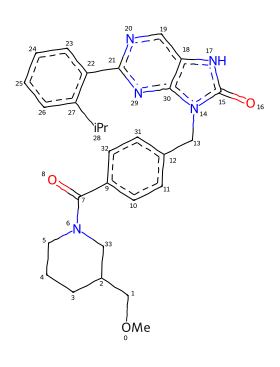 COCC1CCCN(C(=O)c2ccc(Cn3c(=O)[nH]c4cnc(-c5ccccc5C(C)C)nc43)cc2)C1